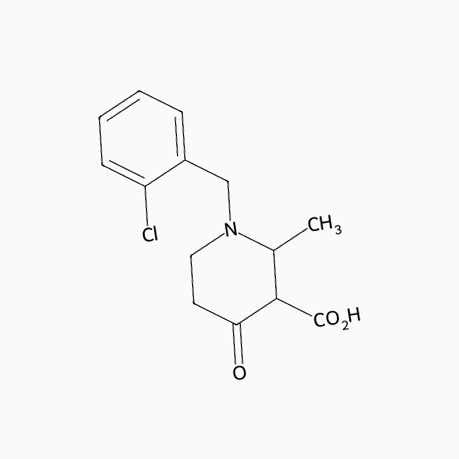 CC1C(C(=O)O)C(=O)CCN1Cc1ccccc1Cl